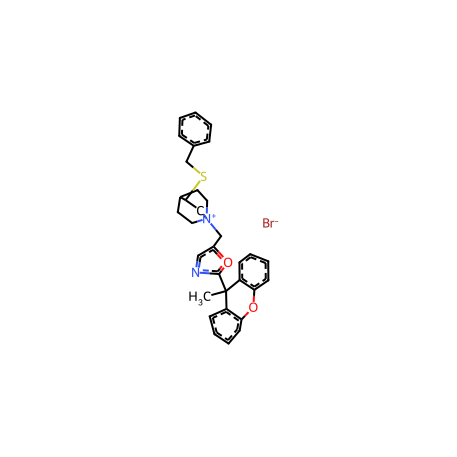 CC1(c2ncc(C[N+]34CCC(CC3)C(SCc3ccccc3)C4)o2)c2ccccc2Oc2ccccc21.[Br-]